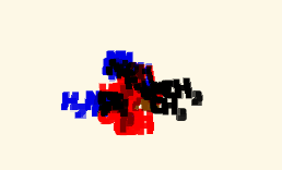 C=CCCC(=O)NC(CC=[SH]C)C(=O)O[C@H]1[C@@H](O)[C@H](n2cnc3c(N)ncnc32)O[C@H]1COP(=O)(O)O[C@H]1[C@@H](O)[C@H](n2ccc(N)nc2=O)O[C@@H]1COP(=O)(O)O